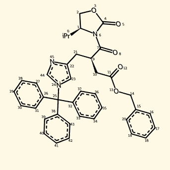 CC(C)[C@H]1COC(=O)N1C(=O)[C@@H](CC(=O)OCc1ccccc1)Cc1cn(C(c2ccccc2)(c2ccccc2)c2ccccc2)cn1